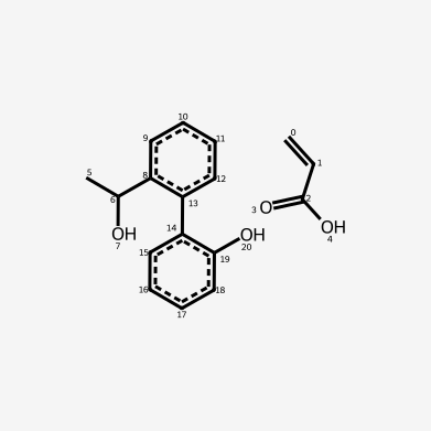 C=CC(=O)O.CC(O)c1ccccc1-c1ccccc1O